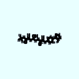 Cc1ncsc1-c1ccc(CN[S+]([O-])CCC(O)CNC(=O)CC(C)(C)C)cc1